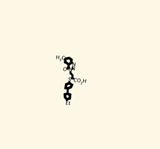 CCc1ccc(-c2ccc(SC(CCn3nnc4ccc(C)cc4c3=O)C(=O)O)cc2)cc1